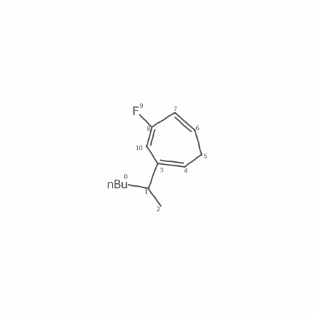 CCCCC(C)C1=CCC=CC(F)=C1